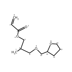 C=CC(=O)OCC(C)COCC1CCCO1